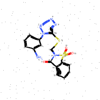 Nc1cccc(-n2nnnc2SCN2C(=O)c3ccccc3S2(=O)=O)c1